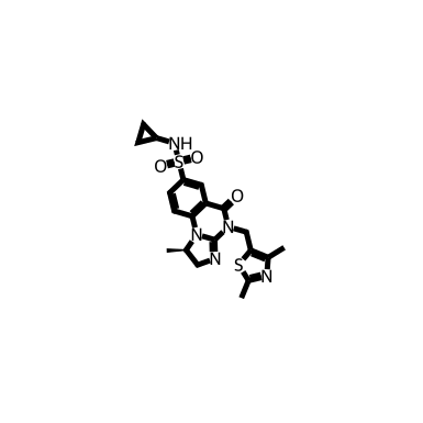 Cc1nc(C)c(CN2C(=O)c3cc(S(=O)(=O)NC4CC4)ccc3N3C2=NC[C@H]3C)s1